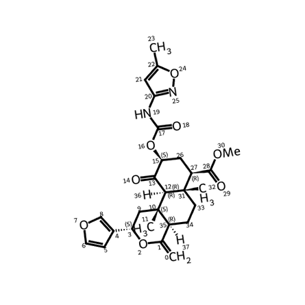 C=C1O[C@H](c2ccoc2)C[C@]2(C)[C@H]3C(=O)[C@@H](OC(=O)Nc4cc(C)on4)C[C@@H](C(=O)OC)[C@]3(C)CC[C@@H]12